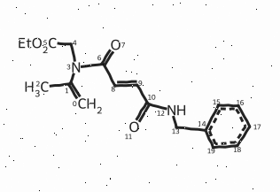 C=C(C)N(CC(=O)OCC)C(=O)/C=C/C(=O)NCc1ccccc1